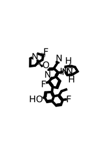 CCc1c(F)ccc2cc(O)cc(-c3ccc4c(N5C[C@H]6CC[C@@H](C5)N6)c(C#N)c(OC[C@@]56CCCN5C[C@H](F)C6)nc4c3F)c12